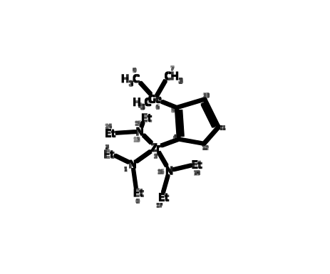 CC[N](CC)[Zr]([C]1=[C]([Ge]([CH3])([CH3])[CH3])C=CC1)([N](CC)CC)[N](CC)CC